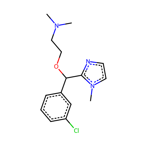 CN(C)CCOC(c1cccc(Cl)c1)c1nccn1C